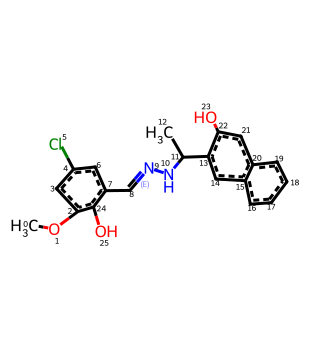 COc1cc(Cl)cc(/C=N/NC(C)c2cc3ccccc3cc2O)c1O